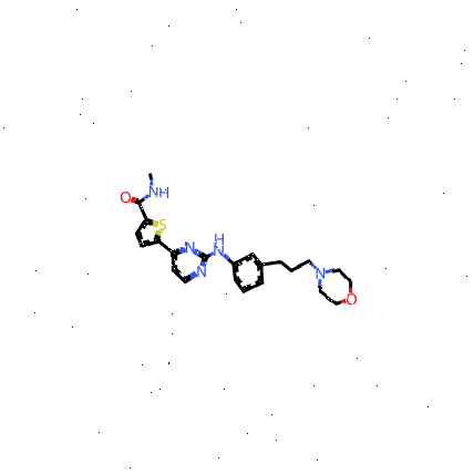 CNC(=O)c1ccc(-c2ccnc(Nc3cccc(CCCN4CCOCC4)c3)n2)s1